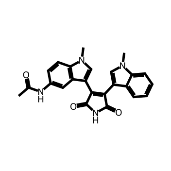 CC(=O)Nc1ccc2c(c1)c(C1=C(c3cn(C)c4ccccc34)C(=O)NC1=O)cn2C